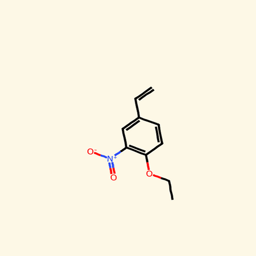 C=Cc1ccc(OCC)c([N+](=O)[O-])c1